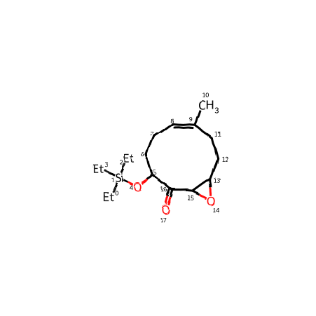 CC[Si](CC)(CC)OC1CCC=C(C)CCC2OC2C1=O